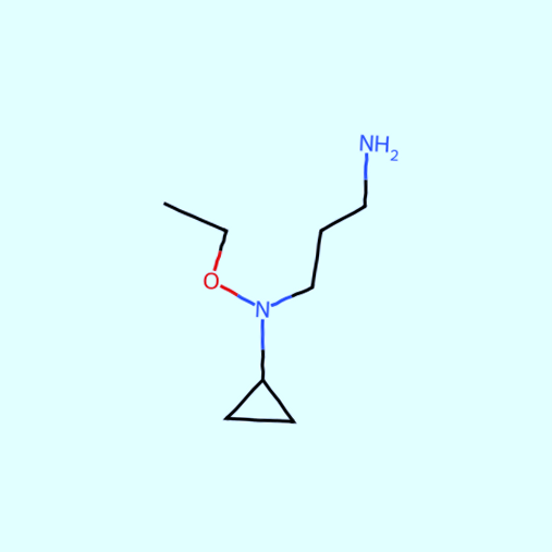 CCON(CCCN)C1CC1